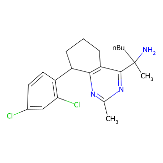 CCCCC(C)(N)c1nc(C)nc2c1CCCC2c1ccc(Cl)cc1Cl